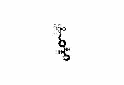 N=C(Nc1ccc(CCNC(=O)C(F)(F)F)cc1)c1cccs1